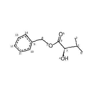 CC(C)[C@@H](O)C(=O)OCc1ccccc1